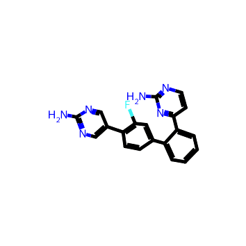 Nc1ncc(-c2ccc(-c3ccccc3-c3ccnc(N)n3)cc2F)cn1